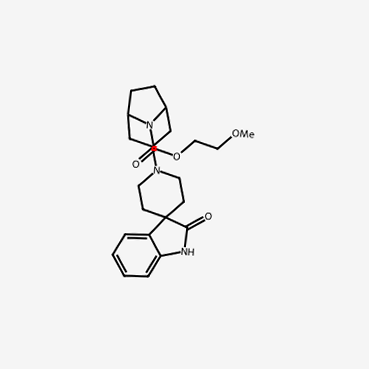 COCCOC(=O)N1C2CCC1CC(N1CCC3(CC1)C(=O)Nc1ccccc13)C2